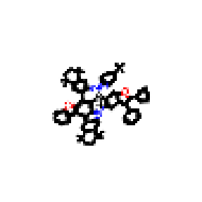 CC(C)(C)c1ccc(Nc2cc3c(cc2-c2c4c5c(c6cc7c(cc6n5-c5cc6c(-c8ccccc8)c(-c8ccccc8)oc6cc5B4)C(C)(C)CCC7(C)C)c4c2oc2ccccc24)C(C)(C)CCC3(C)C)cc1